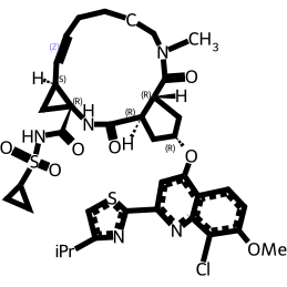 COc1ccc2c(O[C@@H]3C[C@H]4C(=O)N[C@]5(C(=O)NS(=O)(=O)C6CC6)C[C@H]5/C=C\CCCCN(C)C(=O)[C@@H]4C3)cc(-c3nc(C(C)C)cs3)nc2c1Cl